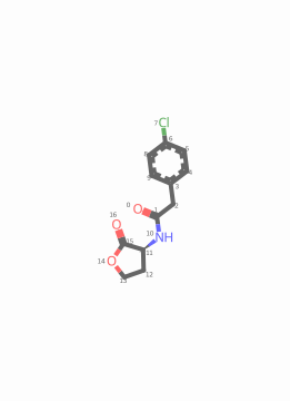 O=C(Cc1ccc(Cl)cc1)N[C@H]1CCOC1=O